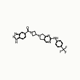 O=C(c1ccc2[nH]nnc2c1)N1CC(N2Cc3cnc(Nc4ccc(C(F)(F)F)cc4)nc3C2)C1